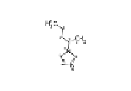 CCC[C@H](C)n1ccnc1